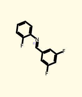 Fc1cc(F)cc(/C=N/c2ccccc2F)c1